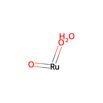 O.[O]=[Ru]=[O]